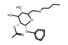 CCCCOCC1O[C@H](Oc2ccccc2)[C@H](OC(C)=O)C(O)[C@@H]1O